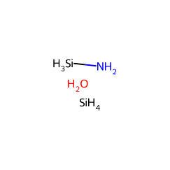 N[SiH3].O.[SiH4]